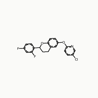 Fc1ccc(C2CCc3cc(Oc4ccc(Cl)cn4)ccc3O2)c(F)c1